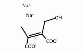 C/C(C(=O)[O-])=C(\CO)C(=O)[O-].[Na+].[Na+]